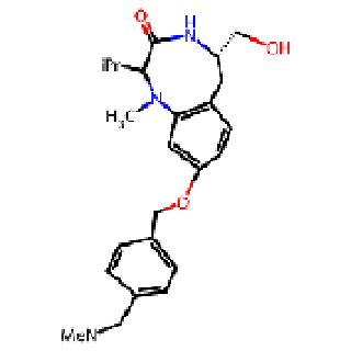 CNCc1ccc(COc2ccc3c(c2)N(C)C(C(C)C)C(=O)N[C@H](CO)C3)cc1